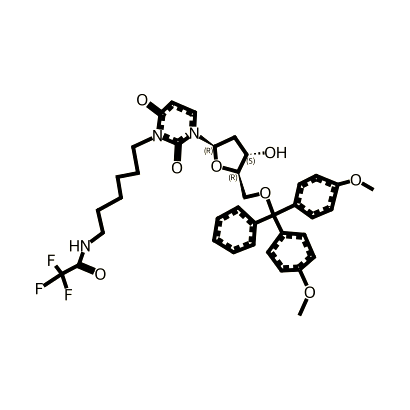 COc1ccc(C(OC[C@H]2O[C@@H](n3ccc(=O)n(CCCCCCNC(=O)C(F)(F)F)c3=O)C[C@@H]2O)(c2ccccc2)c2ccc(OC)cc2)cc1